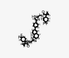 O=C(NCc1nc(-c2ccc(-c3ccc4c(c3)CCc3nc(CNC(=O)C5(C6(O)CCC(F)(F)CC6)CC5)[nH]c3-4)cc2)c[nH]1)C1(C2CCC(F)(F)CC2)CC1